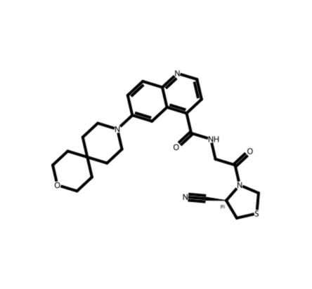 N#C[C@@H]1CSCN1C(=O)CNC(=O)c1ccnc2ccc(N3CCC4(CCOCC4)CC3)cc12